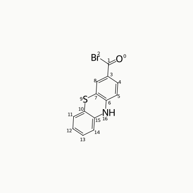 O=C(Br)c1ccc2c(c1)Sc1ccccc1N2